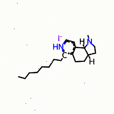 CCCCCCCC[c+]1[nH]ccc2c1CC[C@H]1CCN(C)[C@@H]21.[I-]